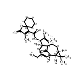 CC1=C[C@]23C(=O)[C@@H](C=C(CO)C[C@@H]2[C@H]1OC(=O)C1=C(C)C(=O)OC12CCCCC2)[C@H]1[C@@H](C[C@H]3C)C1(C)C